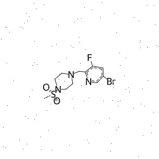 CS(=O)(=O)N1CCN(Cc2ncc(Br)cc2F)CC1